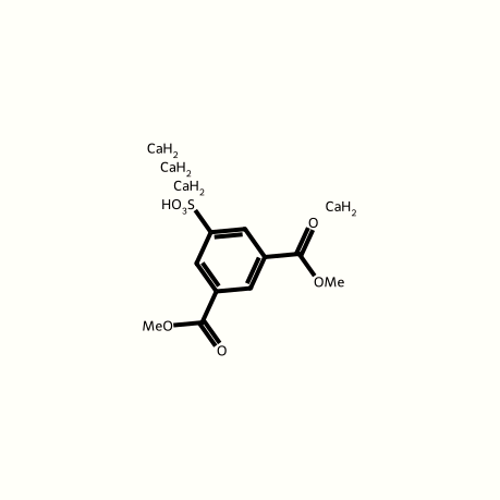 COC(=O)c1cc(C(=O)OC)cc(S(=O)(=O)O)c1.[CaH2].[CaH2].[CaH2].[CaH2]